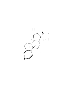 C[C@@H]1C[C@H]2[C@@H]3CCC4=CC(=O)C=C[C@]4(C)C3(F)CC[C@]2(C)[C@@]1(O)C(=O)CO